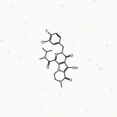 CC(C)N(C)C(=O)c1nn(Cc2ccc(F)c(Cl)c2)c(=O)c2c(O)c3n(c12)CCN(C)C3=O